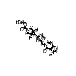 Cn1cnc2ncn(Cc3nc([C@H]4[C@@H]5CN(C(=O)OC(C)(C)C)C[C@@H]54)no3)c(=O)c21